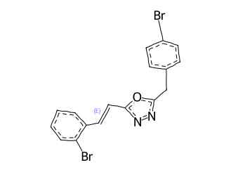 Brc1ccc(Cc2nnc(/C=C/c3ccccc3Br)o2)cc1